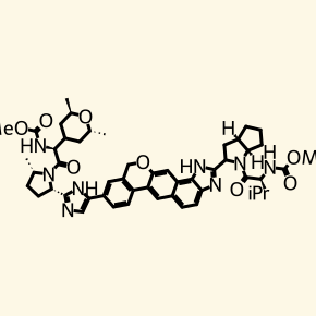 COC(=O)N[C@H](C(=O)N1C(c2nc3ccc4cc5c(cc4c3[nH]2)OCc2cc(-c3cnc([C@@H]4CC[C@H](C)N4C(=O)[C@@H](NC(=O)OC)C4C[C@@H](C)O[C@H](C)C4)[nH]3)ccc2-5)C[C@@H]2CCC[C@@H]21)C(C)C